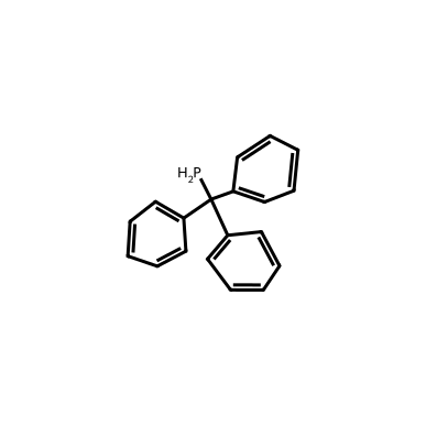 PC(c1ccccc1)(c1ccccc1)c1ccccc1